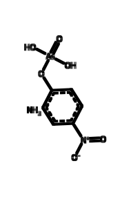 N.O=[N+]([O-])c1ccc(O[As](=O)(O)O)cc1